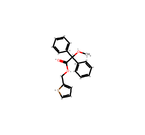 COC(C(=O)OCc1cccs1)(c1ccccc1)c1ccccc1